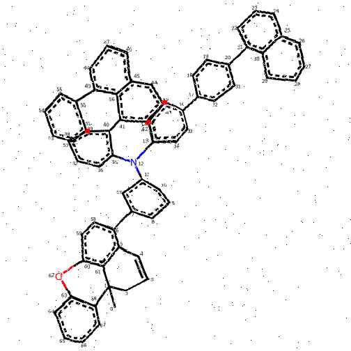 CC12CC=Cc3c(-c4cccc(N(c5ccc(-c6ccc(-c7cccc8ccccc78)cc6)cc5)c5ccccc5-c5cccc6cccc(-c7ccccc7)c56)c4)ccc(c31)Oc1ccccc12